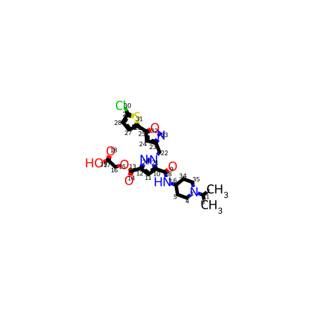 CC(C)N1CCC(NC(=O)c2cc(C(=O)OCC(=O)O)nn2Cc2cc(-c3ccc(Cl)s3)on2)CC1